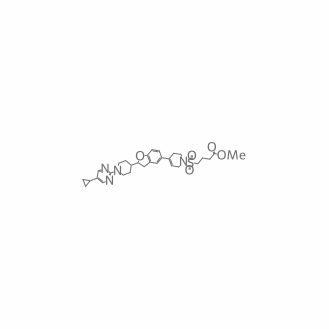 COC(=O)CCCS(=O)(=O)N1CC=C(c2ccc3c(c2)CC(C2CCN(c4ncc(C5CC5)cn4)CC2)O3)CC1